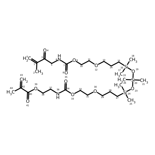 C=C(C)C(=O)CNC(=O)OCCOCCC[Si](C)(C)O[Si](C)(C)O[Si](C)(C)CCCOCCOC(=O)NCCOC(=O)C(=C)C